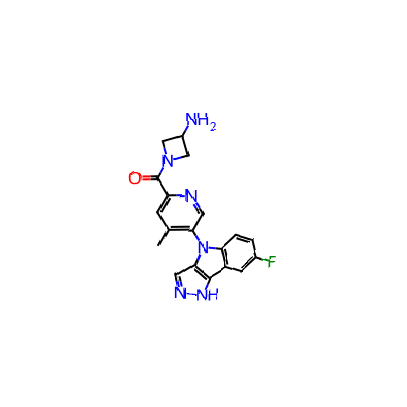 Cc1cc(C(=O)N2CC(N)C2)ncc1-n1c2ccc(F)cc2c2[nH]ncc21